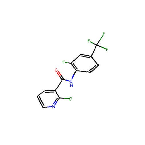 O=C(Nc1ccc(C(F)(F)F)cc1F)c1cccnc1Cl